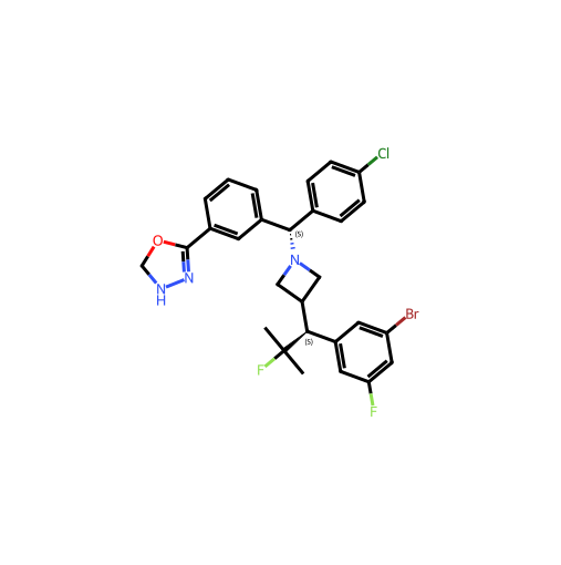 CC(C)(F)[C@H](c1cc(F)cc(Br)c1)C1CN([C@@H](c2ccc(Cl)cc2)c2cccc(C3=NNCO3)c2)C1